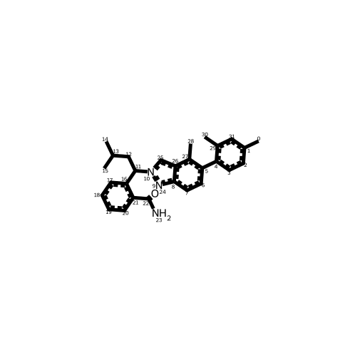 Cc1ccc(-c2ccc3nn(C(CC(C)C)c4ccccc4C(N)=O)cc3c2C)c(C)c1